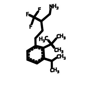 CC(C)c1cccc(CCC(CN)C(F)(F)F)c1C(C)(C)C